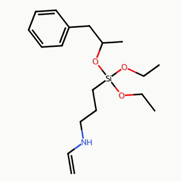 C=CNCCC[Si](OCC)(OCC)OC(C)Cc1ccccc1